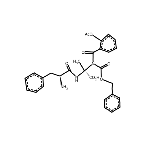 CC(=O)Oc1ccccc1C(=O)N(C(=O)OCc1ccccc1)[C@](C)(NC(=O)[C@@H](N)Cc1ccccc1)C(=O)O